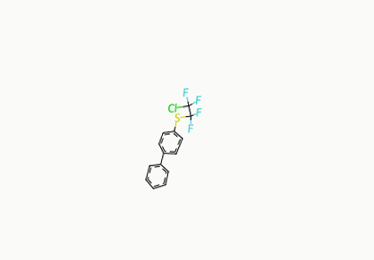 FC(F)(Cl)C(F)(F)Sc1ccc(-c2ccccc2)cc1